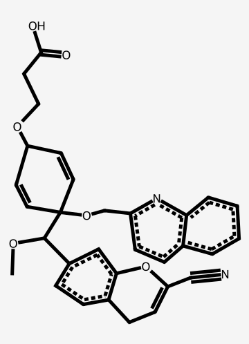 COC(c1ccc2c(c1)OC(C#N)=CC2)C1(OCc2ccc3ccccc3n2)C=CC(OCCC(=O)O)C=C1